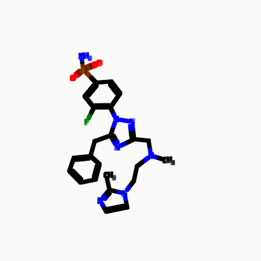 Cc1nccn1CCN(C)Cc1nc(Cc2ccccc2)n(-c2ccc(S(N)(=O)=O)cc2F)n1